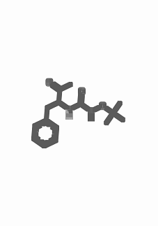 CC(=O)C(Cc1ccccc1)NC(=O)NOC(C)(C)C